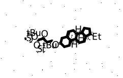 CC[C@H]1CC[C@H]2[C@@H]3CC=C4CC(OCCC(=O)C(O[Si](C)(C)C(C)(C)C)O[Si](C)(C)C(C)(C)C)CC[C@]4(C)[C@H]3CC[C@]12C